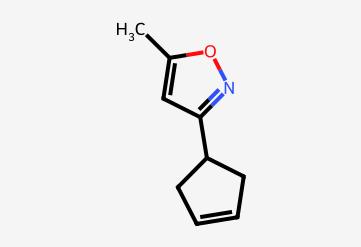 Cc1cc(C2CC=CC2)no1